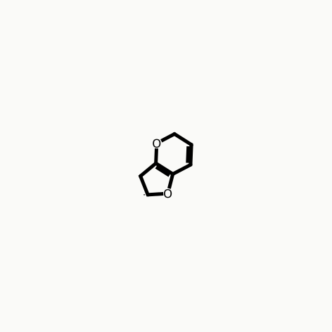 [CH]1CC2=C(C=CCO2)O1